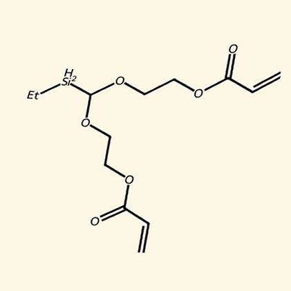 [CH2]C[SiH2]C(OCCOC(=O)C=C)OCCOC(=O)C=C